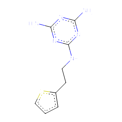 Nc1nc(N)nc(NCCc2cccs2)n1